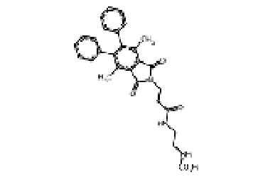 Cc1c2c(c(C)c(-c3ccccc3)c1-c1ccccc1)C(=O)N(CCC(=O)NCCNC(=O)O)C2=O